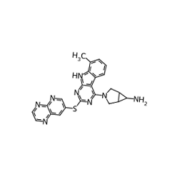 Cc1cccc2c1[nH]c1nc(Sc3cnc4nccnc4c3)nc(N3CC4C(N)C4C3)c12